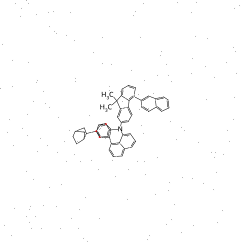 CC1(C)c2cc(N(c3ccc(C4CC5CCC4C5)cc3)c3cccc4cccc(C5CCCCC5)c34)ccc2-c2c(-c3ccc4ccccc4c3)cccc21